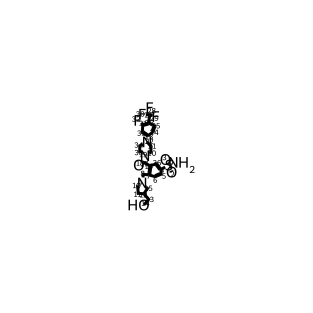 NS(=O)(=O)c1ccc(CN2CCC(CO)C2)c(C(=O)N2CCN(c3ccc(C(F)(F)F)c(F)c3)CC2)c1